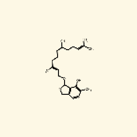 CC(C)=CCCC(C)CCC/C(C)=C/COC1OCc2cnc(C)c(O)c21